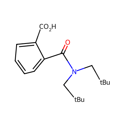 CC(C)(C)CN(CC(C)(C)C)C(=O)c1ccccc1C(=O)O